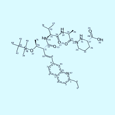 CCc1ccc2ccc(/C=C/[C@@H](C(=O)N[C@H](C(=O)N[C@@H](C)C(=O)N3CCC[C@@H](C(=O)O)N3)C(C)C)[C@H](C)O[Si](C)(C)C(C)(C)C)cc2n1